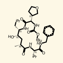 CC(C)C[C@H](NC(=O)C(NC(=O)OC(C)(C)C)[C@@H]1CCOC1)[C@@H](O)C[C@@H](C)C(=O)N[C@H](C(=O)NCc1ccccc1)C(C)C